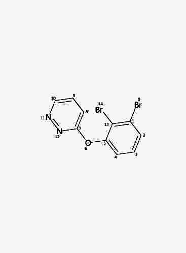 Brc1cccc(Oc2cc[c]nn2)c1Br